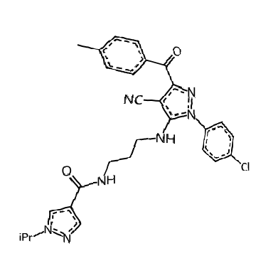 Cc1ccc(C(=O)c2nn(-c3ccc(Cl)cc3)c(NCCCNC(=O)c3cnn(C(C)C)c3)c2C#N)cc1